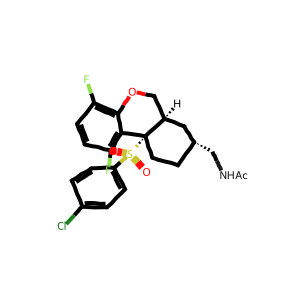 CC(=O)NC[C@@H]1CC[C@@]2(S(=O)(=O)c3ccc(Cl)cc3)c3c(F)ccc(F)c3OC[C@H]2C1